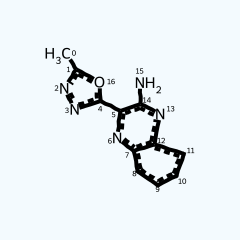 Cc1nnc(-c2nc3ccccc3nc2N)o1